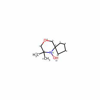 CC1(C)COCC2(CCCC2)N1O